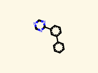 c1ccc(-c2cccc(-c3ncncn3)c2)cc1